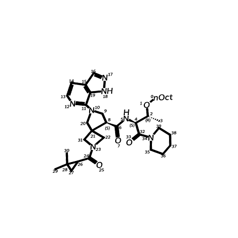 CCCCCCCCO[C@H](C)[C@H](NC(=O)[C@@H]1CN(c2nccc3cn[nH]c23)CC12CN(C(=O)C1CC1(C)C)C2)C(=O)N1CCCCC1